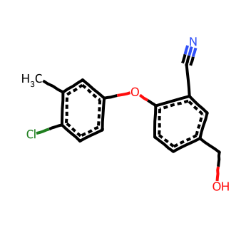 Cc1cc(Oc2ccc(CO)cc2C#N)ccc1Cl